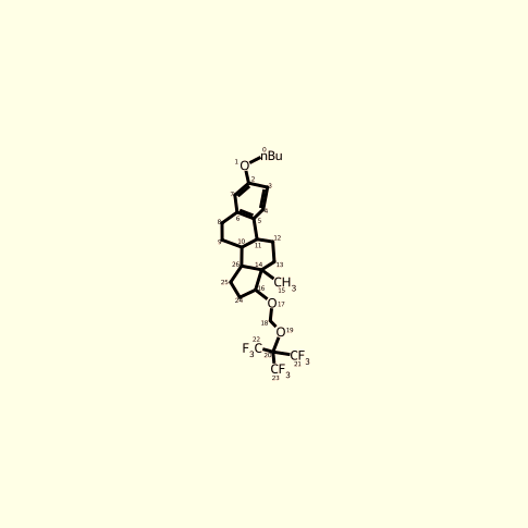 CCCCOc1ccc2c(c1)CCC1C2CCC2(C)C(OCOC(C(F)(F)F)(C(F)(F)F)C(F)(F)F)CCC12